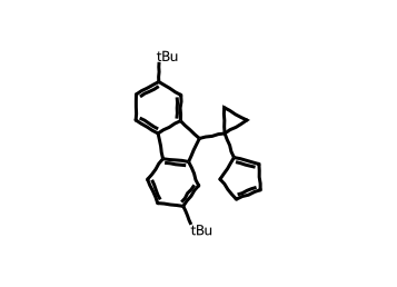 CC(C)(C)c1ccc2c(c1)C(C1(C3=CC=CC3)CC1)c1cc(C(C)(C)C)ccc1-2